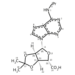 CC(C)Nc1ncnc2c1ncn2[C@@H]1O[C@H](C(=O)O)[C@H]2OC(C)(C)O[C@H]21